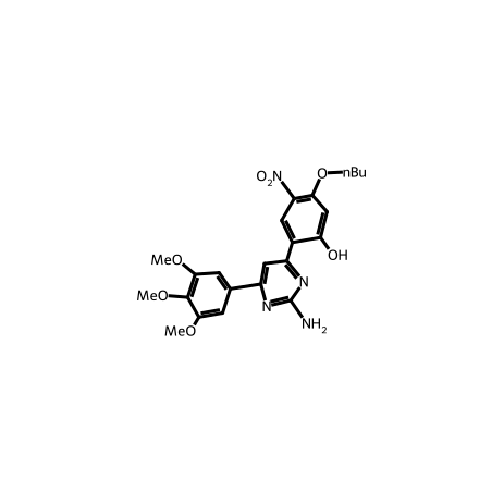 CCCCOc1cc(O)c(-c2cc(-c3cc(OC)c(OC)c(OC)c3)nc(N)n2)cc1[N+](=O)[O-]